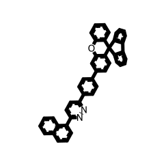 c1ccc2c(c1)Oc1cc(-c3ccc(-c4ccc(-c5cccc6ccccc56)nn4)cc3)ccc1C21c2ccccc2-c2ccccc21